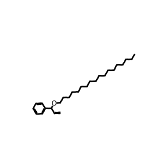 C=CC(OCCCCCCCCCCCCCCCCCC)c1ccccc1